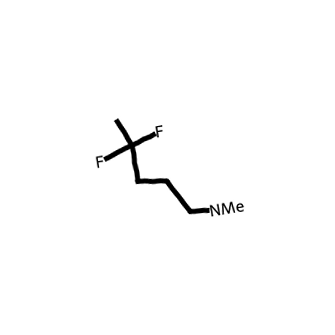 CNCCCC(C)(F)F